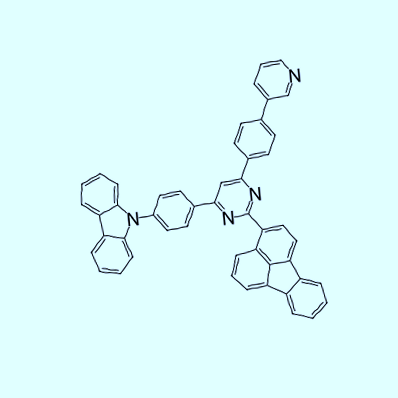 c1cncc(-c2ccc(-c3cc(-c4ccc(-n5c6ccccc6c6ccccc65)cc4)nc(-c4ccc5c6c(cccc46)-c4ccccc4-5)n3)cc2)c1